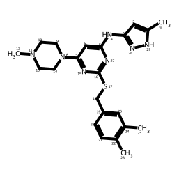 Cc1cc(Nc2cc(N3CCN(C)CC3)nc(SCc3ccc(C)c(C)c3)n2)n[nH]1